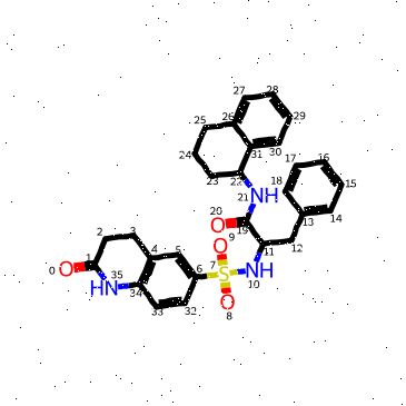 O=C1CCc2cc(S(=O)(=O)NC(Cc3ccccc3)C(=O)NC3CCCc4ccccc43)ccc2N1